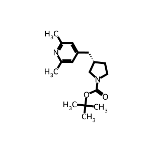 Cc1cc(C[C@@H]2CCN(C(=O)OC(C)(C)C)C2)cc(C)n1